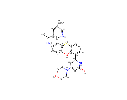 CCC(Nc1ccc2c(c1)Sc1cccc(-c3cc(N4CCOCC4)cc(=O)[nH]3)c1O2)c1cncc(OC)c1